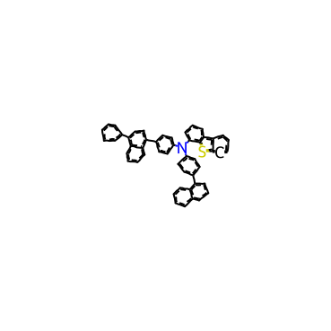 c1ccc(-c2ccc(-c3ccc(N(c4ccc(-c5cccc6ccccc56)cc4)c4cccc5c4sc4ccccc45)cc3)c3ccccc23)cc1